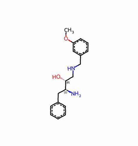 COc1cccc(CNC[C@@H](O)[C@@H](N)Cc2ccccc2)c1